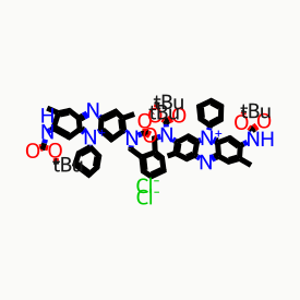 Cc1cc2nc3cc(C)c(N(Cc4ccccc4CN(C(=O)OC(C)(C)C)c4cc5c(cc4C)nc4cc(C)c(NC(=O)OC(C)(C)C)cc4[n+]5-c4ccccc4)C(=O)OC(C)(C)C)cc3[n+](-c3ccccc3)c2cc1NC(=O)OC(C)(C)C.[Cl-].[Cl-]